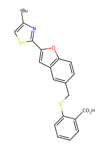 CC(C)(C)c1csc(-c2cc3cc(CSc4ccccc4C(=O)O)ccc3o2)n1